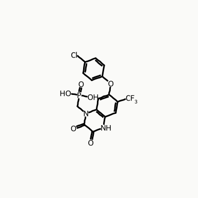 O=c1[nH]c2cc(C(F)(F)F)c(Oc3ccc(Cl)cc3)cc2n(CP(=O)(O)O)c1=O